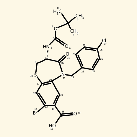 CC(C)(C)OC(=O)N[C@H]1CSc2cc(Br)c(C(=O)O)cc2N(Cc2ccc(Cl)cc2)C1=O